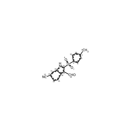 Cc1ccc(S(=O)(=O)c2[nH]c3cc(C#N)ccc3c2C=O)cc1